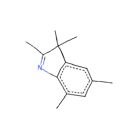 CC1=Nc2c(C)cc(C)cc2C1(C)C